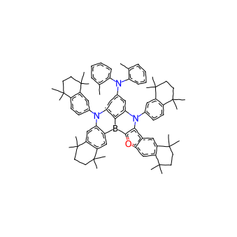 Cc1ccccc1N(c1cc2c3c(c1)N(c1ccc4c(c1)C(C)(C)CCC4(C)C)c1c(oc4cc5c(cc14)C(C)(C)CCC5(C)C)B3c1cc3c(cc1N2c1ccc2c(c1)C(C)(C)CCC2(C)C)C(C)(C)CCC3(C)C)c1ccccc1C